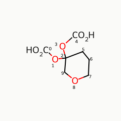 O=C(O)OC1(OC(=O)O)CCCOC1